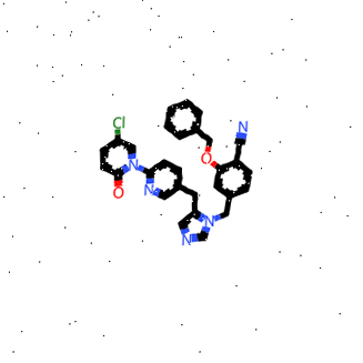 N#Cc1ccc(Cn2cncc2Cc2ccc(-n3cc(Cl)ccc3=O)nc2)cc1OCc1ccccc1